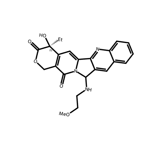 CC[C@@]1(O)C(=O)OCc2c1cc1n(c2=O)C(NCCOC)c2cc3ccccc3nc2-1